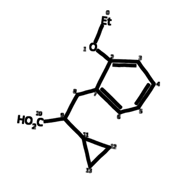 CCOc1ccccc1CC(C(=O)O)C1CC1